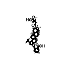 C=C(C)[C@@H]1CC[C@]2(CCc3ccccc3C(=O)O)CC[C@]3(C)C(CCC4[C@@]5(C)CC[C@H](OC(=O)CC(C)(C)C(=O)O)C(C)(C)C5CC[C@]43C)C12